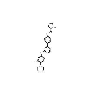 COc1cc(Nc2nccc(-c3ccc(NC(=O)C4CCCN4C)cc3)n2)ccc1N1CCOCC1